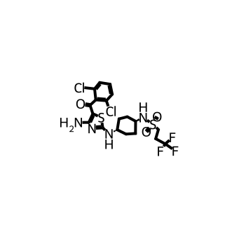 Nc1nc(N[C@H]2CC[C@H](NS(=O)(=O)CCC(F)(F)F)CC2)sc1C(=O)c1c(Cl)cccc1Cl